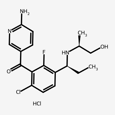 CC[C@H](N[C@@H](C)CO)c1ccc(Cl)c(C(=O)c2ccc(N)nc2)c1F.Cl